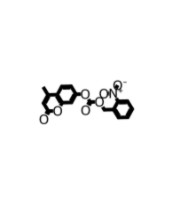 Cc1cc(=O)oc2cc(OC(=O)OCc3ccccc3[N+](=O)[O-])ccc12